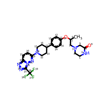 CC(CN1CCNC(=O)C1)Oc1ccc(C2CCN(c3ccc4nnc(C(F)(F)F)n4n3)CC2)cc1